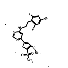 CCOc1cc(-c2cc(NCCc3c(F)cc(Br)cc3F)ncn2)sc1S(N)(=O)=O